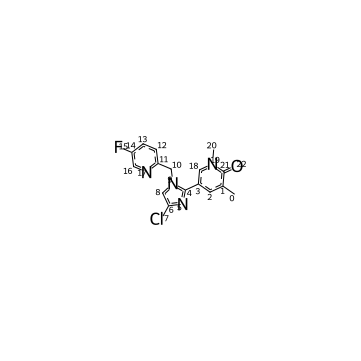 Cc1cc(-c2nc(Cl)cn2Cc2ccc(F)cn2)cn(C)c1=O